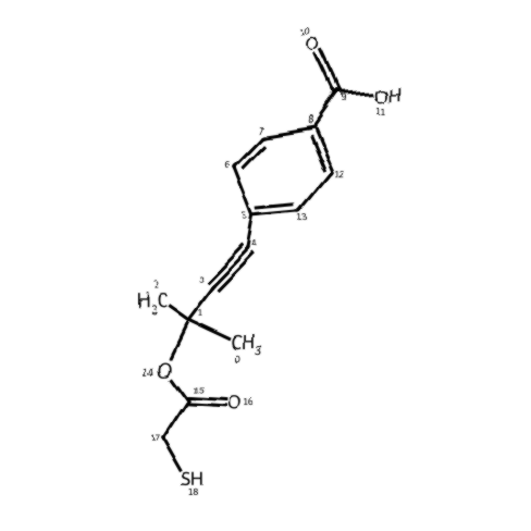 CC(C)(C#Cc1ccc(C(=O)O)cc1)OC(=O)CS